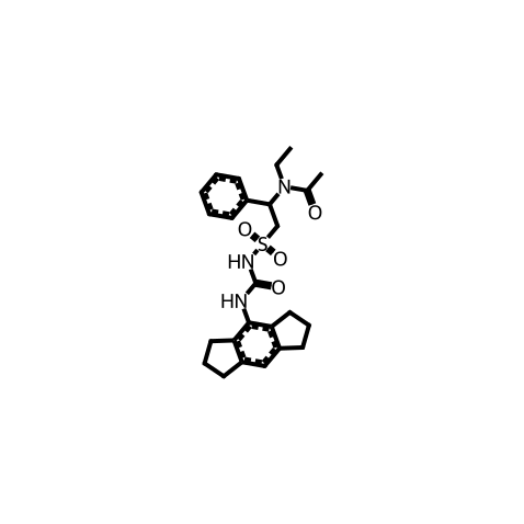 CCN(C(C)=O)C(CS(=O)(=O)NC(=O)Nc1c2c(cc3c1CCC3)CCC2)c1ccccc1